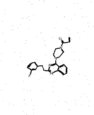 C=CC(=O)N1CCN(c2nc(CCc3cccc(F)c3)nc3ccccc23)CC1